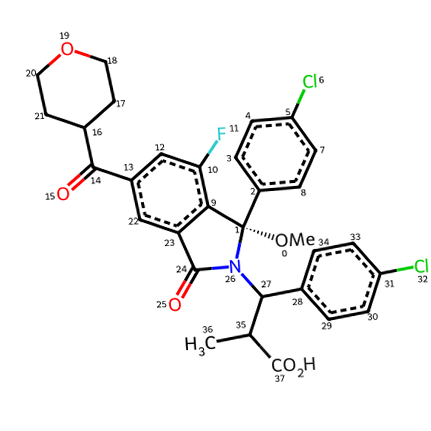 CO[C@@]1(c2ccc(Cl)cc2)c2c(F)cc(C(=O)C3CCOCC3)cc2C(=O)N1C(c1ccc(Cl)cc1)C(C)C(=O)O